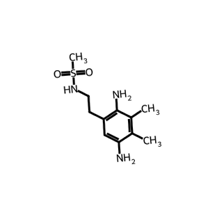 Cc1c(N)cc(CCNS(C)(=O)=O)c(N)c1C